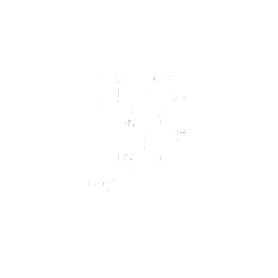 O=C(O)CNC(=O)c1nc(-c2cccs2)c2ccsc2c1O